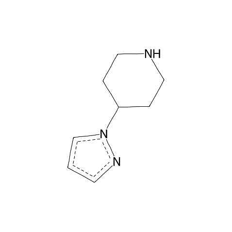 c1cnn(C2CCNCC2)c1